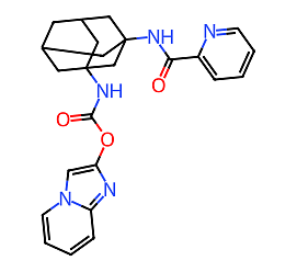 O=C(NC12CC3CC(C1)CC(NC(=O)c1ccccn1)(C3)C2)Oc1cn2ccccc2n1